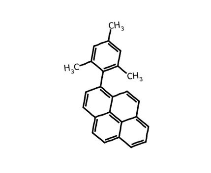 Cc1cc(C)c(-c2ccc3ccc4cccc5ccc2c3c45)c(C)c1